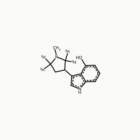 [2H]C1([2H])CC(c2c[nH]c3cccc(O)c23)C([2H])([2H])N1C